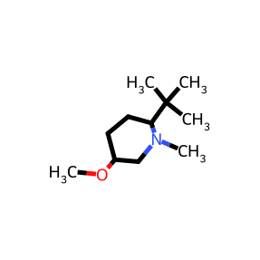 COC1CCC(C(C)(C)C)N(C)C1